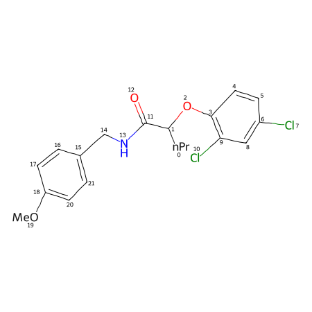 CCCC(Oc1ccc(Cl)cc1Cl)C(=O)NCc1ccc(OC)cc1